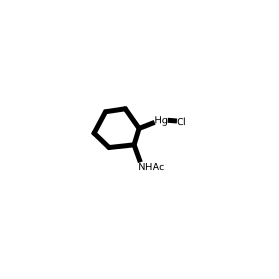 CC(=O)NC1CCCC[CH]1[Hg][Cl]